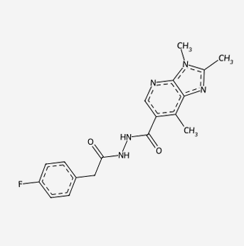 Cc1c(C(=O)NNC(=O)Cc2ccc(F)cc2)cnc2c1nc(C)n2C